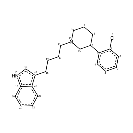 Clc1ccccc1C1CCCN(CCCCc2c[nH]c3ccccc23)C1